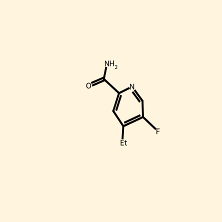 CCc1cc(C(N)=O)ncc1F